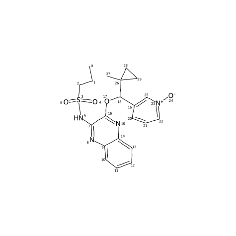 CCCS(=O)(=O)Nc1nc2ccccc2nc1OC(c1ccc[n+]([O-])c1)C1(C)CC1